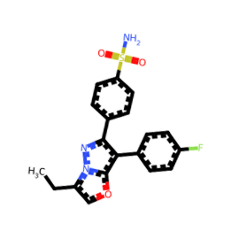 CCc1coc2c(-c3ccc(F)cc3)c(-c3ccc(S(N)(=O)=O)cc3)nn12